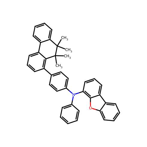 CC1(C)c2ccccc2-c2cccc(-c3ccc(N(c4ccccc4)c4cccc5c4oc4ccccc45)cc3)c2C1(C)C